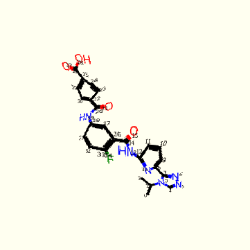 CC(C)n1cnnc1-c1cccc(NC(=O)c2cc(NC(=O)c3ccc(C(=O)O)cc3)ccc2F)n1